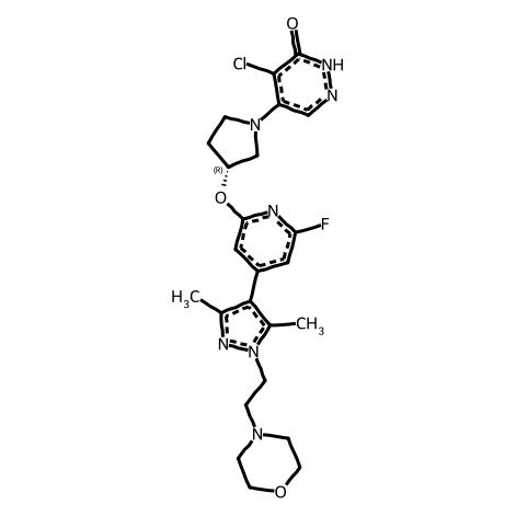 Cc1nn(CCN2CCOCC2)c(C)c1-c1cc(F)nc(O[C@@H]2CCN(c3cn[nH]c(=O)c3Cl)C2)c1